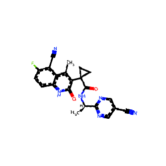 Cc1c(C2(C(=O)N[C@H](C)c3ncc(C#N)cn3)CC2)c(=O)[nH]c2ccc(F)c(C#N)c12